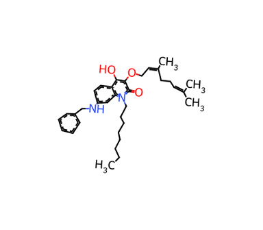 CCCCCCCCn1c(=O)c(OCC=C(C)CCC=C(C)C)c(O)c2ccc(NCc3ccccc3)cc21